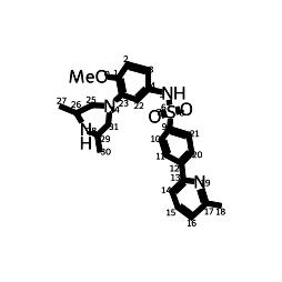 COc1ccc(NS(=O)(=O)c2ccc(-c3cccc(C)n3)cc2)cc1N1CC(C)NC(C)C1